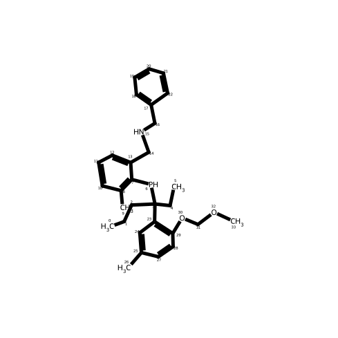 CCCC(CC)(Pc1c(C)cccc1CNCc1ccccc1)c1cc(C)ccc1OCOC